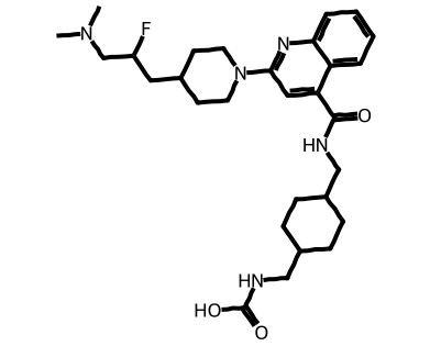 CN(C)CC(F)CC1CCN(c2cc(C(=O)NCC3CCC(CNC(=O)O)CC3)c3ccccc3n2)CC1